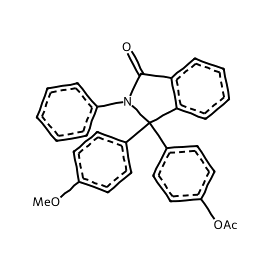 COc1ccc(C2(c3ccc(OC(C)=O)cc3)c3ccccc3C(=O)N2c2ccccc2)cc1